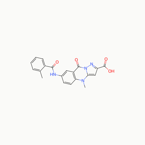 Cc1ccccc1C(=O)Nc1ccc2c(c1)c(=O)n1nc(C(=O)O)cc1n2C